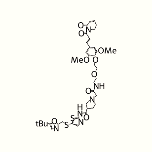 COc1cc(C=CC(=O)N2CCC=CC2=O)cc(OC)c1OCCOCCNC(=O)CN1CCC(C(=O)Nc2ncc(SCc3ncc(C(C)(C)C)o3)s2)CC1